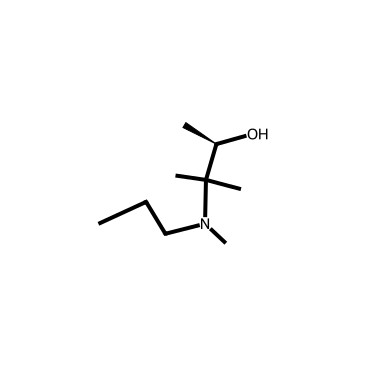 CCCN(C)C(C)(C)[C@@H](C)O